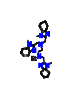 CCN(CCN(Cc1nc2ccccc2n1C)Cc1nc2ccccc2n1C)Cc1nc2ccccc2n1C